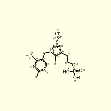 Cc1ncc(C[n+]2csc(CCOP(=O)(O)O)c2C)c(N)n1.[Cl-].[S-2].[S-2]